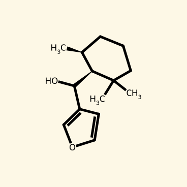 C[C@H]1CCCC(C)(C)[C@H]1C(O)c1ccoc1